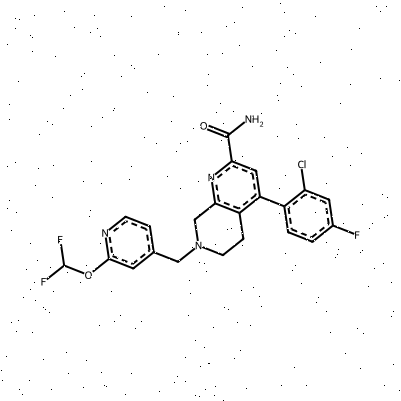 NC(=O)c1cc(-c2ccc(F)cc2Cl)c2c(n1)CN(Cc1ccnc(OC(F)F)c1)CC2